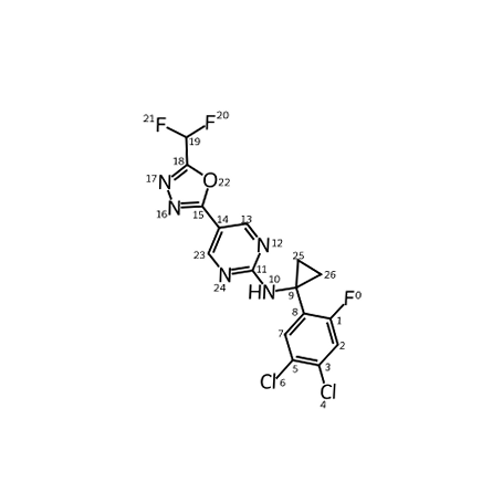 Fc1cc(Cl)c(Cl)cc1C1(Nc2ncc(-c3nnc(C(F)F)o3)cn2)CC1